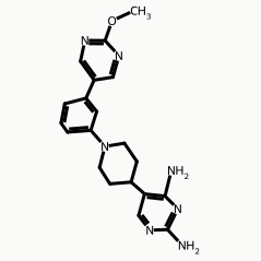 COc1ncc(-c2cccc(N3CCC(c4cnc(N)nc4N)CC3)c2)cn1